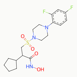 O=C(NO)C(CS(=O)(=O)N1CCN(c2ccc(F)cc2F)CC1)C1CCCC1